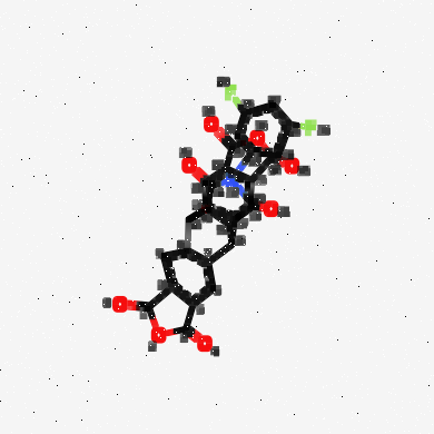 O=C1OC(=O)c2cc3c(cc21)C1c2cc4c(cc2C3C2C(=O)N(c3cc(F)cc(F)c3)C(=O)C12)C(=O)OC4=O